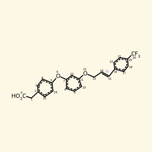 O=C(O)Cc1ccc(Oc2cccc(OC/C=C/c3ccc(C(F)(F)F)cc3)c2)cc1